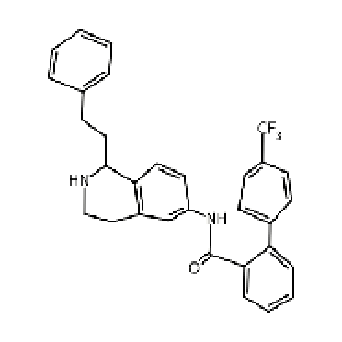 O=C(Nc1ccc2c(c1)CCNC2CCc1ccccc1)c1ccccc1-c1ccc(C(F)(F)F)cc1